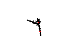 CCCCCCCCCCCCSC(CNCCN(C)C)C[S+]([O-])CCCCCCCCCCCC